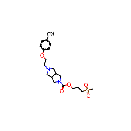 CS(=O)(=O)CCCOC(=O)N1CC2CN(CCOc3ccc(C#N)cc3)CC2C1